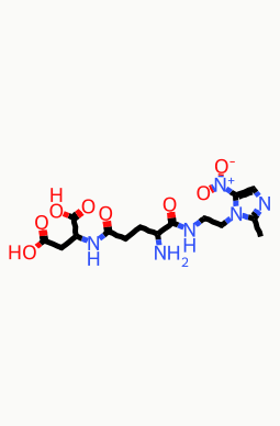 Cc1ncc([N+](=O)[O-])n1CCNC(=O)C(N)CCC(=O)NC(CC(=O)O)C(=O)O